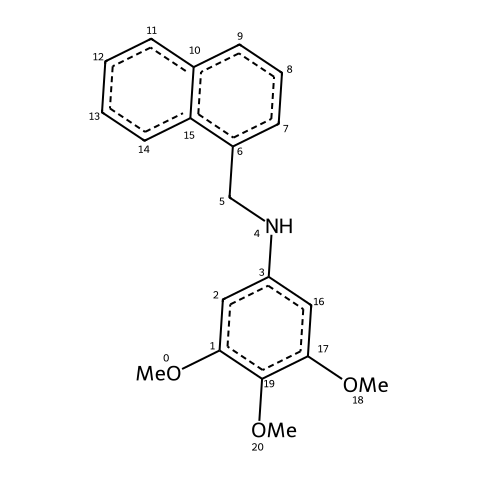 COc1cc(NCc2cccc3ccccc23)cc(OC)c1OC